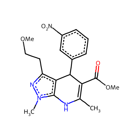 COCCc1nn(C)c2c1C(c1cccc([N+](=O)[O-])c1)C(C(=O)OC)=C(C)N2